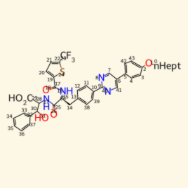 CCCCCCCOc1ccc(-c2cnc(-c3ccc(C[C@H](NC(=O)c4ccc(C(F)(F)F)s4)C(=O)NC(C(=O)O)C(O)c4ccccc4)cc3)nc2)cc1